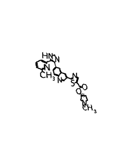 Cc1cccc(-c2[nH]cnc2-c2ccc3ncc(-c4ncc(C(=O)O[C@H]5CCN(C)C5)s4)cc3c2)n1